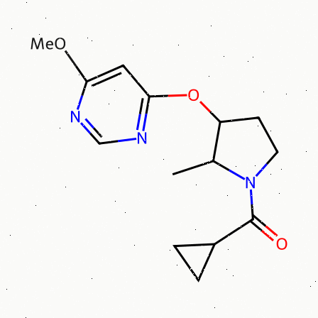 COc1cc(OC2CCN(C(=O)C3CC3)C2C)ncn1